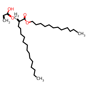 C=C(CCCCCCCCCCCCCC)C(=O)OCCCCCCCCCCCC.C=CC(=O)O